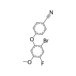 COc1cc(Oc2ccc(C#N)cc2)c(Br)cc1F